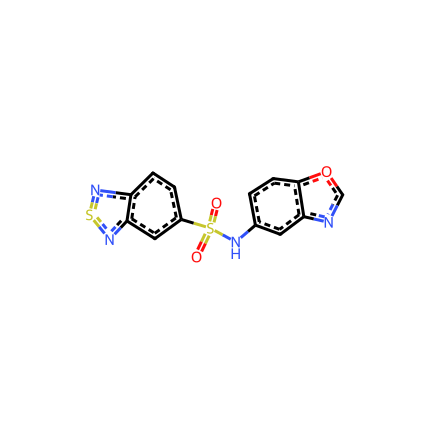 O=S(=O)(Nc1ccc2ocnc2c1)c1ccc2nsnc2c1